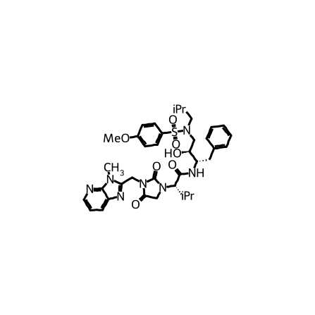 COc1ccc(S(=O)(=O)N(CC(C)C)C[C@H](O)[C@H](Cc2ccccc2)NC(=O)[C@H](C(C)C)N2CC(=O)N(Cc3nc4cccnc4n3C)C2=O)cc1